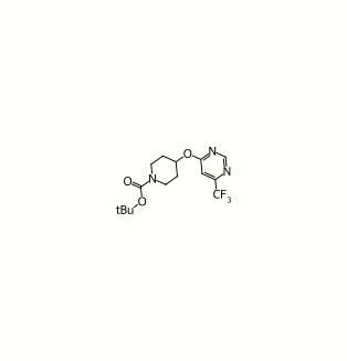 CC(C)(C)OC(=O)N1CCC(Oc2cc(C(F)(F)F)ncn2)CC1